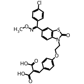 CON=C(c1ccc(Cl)cc1)c1ccc2c(c1)sc(=O)n2CCOc1ccc(C=C(C(=O)O)C(=O)O)cc1